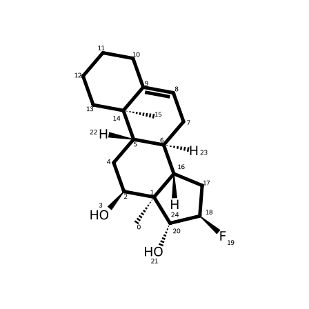 C[C@]12[C@@H](O)C[C@H]3[C@@H](CC=C4CCCC[C@@]43C)[C@@H]1C[C@@H](F)[C@@H]2O